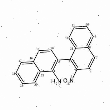 Nc1c(-c2c([N+](=O)[O-])ccc3ccccc23)ccc2ccccc12